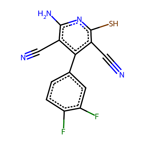 N#Cc1c(N)nc(S)c(C#N)c1-c1ccc(F)c(F)c1